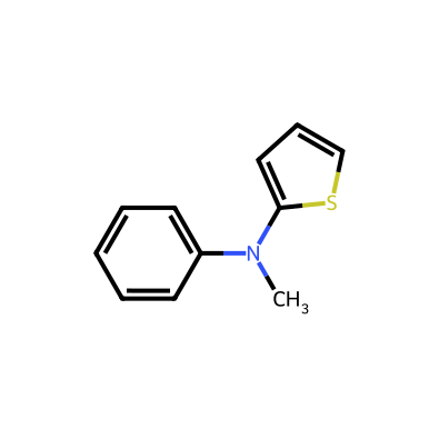 CN(c1ccccc1)c1cccs1